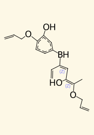 C=CCO/C(C)=C(O)/C=C(/Bc1ccc(OCC=C)c(O)c1)C=C